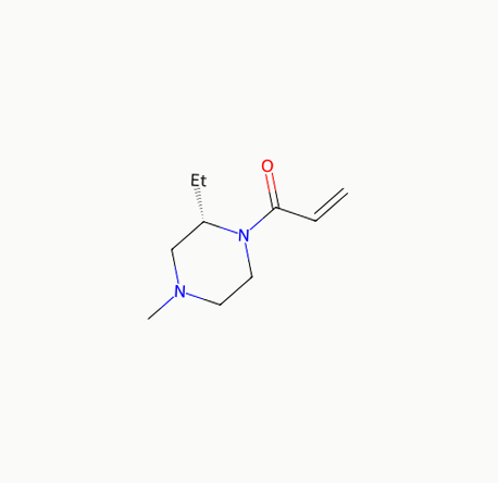 C=CC(=O)N1CCN(C)C[C@@H]1CC